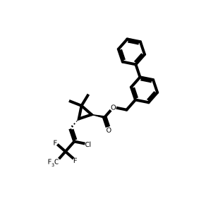 CC1(C)[C@@H](C=C(Cl)C(F)(F)C(F)(F)F)[C@@H]1C(=O)OCc1cccc(-c2ccccc2)c1